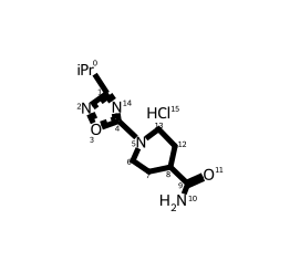 CC(C)c1noc(N2CCC(C(N)=O)CC2)n1.Cl